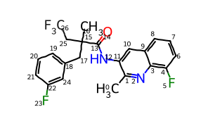 Cc1nc2c(F)cccc2cc1NC(=O)C(C)(Cc1cccc(F)c1)CC(F)(F)F